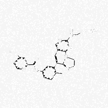 COCCNc1ncc2c(n1)N1CCN=C1C(c1cc(NC(=O)c3cc(C(F)(F)F)ccn3)ccc1C)=C2